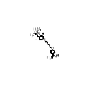 CC(C)N(C(=O)c1ccc(OCCCCCOc2ccc(/C(N)=N\O)cc2)cc1)C(C)C